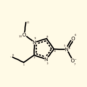 [CH2]Cc1nc([N+](=O)[O-])cn1OC